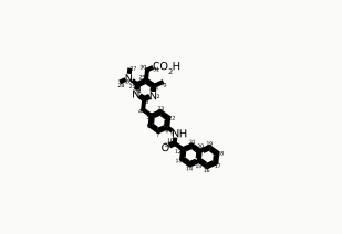 Cc1nc(Cc2ccc(NC(=O)c3ccc4ccccc4c3)cc2)nc(N(C)C)c1CC(=O)O